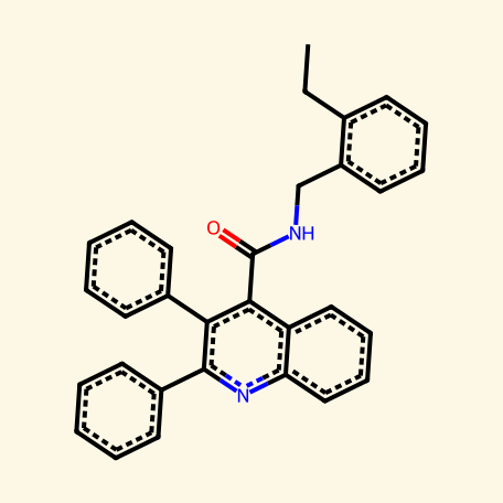 CCc1ccccc1CNC(=O)c1c(-c2ccccc2)c(-c2ccccc2)nc2ccccc12